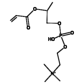 C=CC(=O)OC(C)COP(=O)(O)OCC[N+](C)(C)C